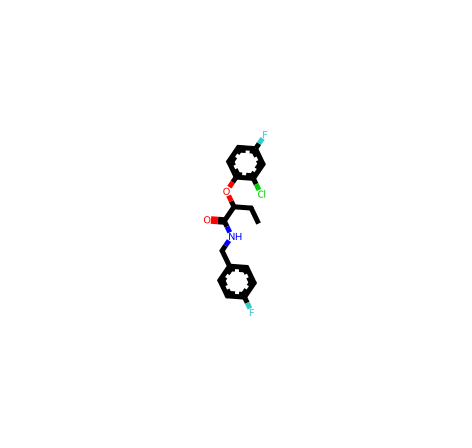 CCC(Oc1ccc(F)cc1Cl)C(=O)NCc1ccc(F)cc1